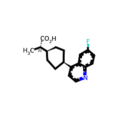 C[C@H](C(=O)O)[C@H]1CC[C@@H](c2ccnc3ccc(F)cc32)CC1